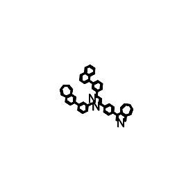 C1=Cc2ccc(-c3cccc(-c4nc(-c5ccc(-c6cncc7c6C=CCC=C7)cc5)cc(-c5cccc(-c6cccc7ccccc67)c5)n4)c3)cc2C=CC1